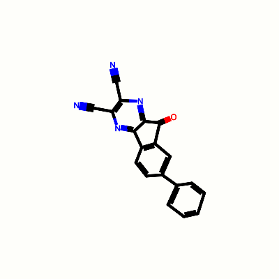 N#Cc1nc2c(nc1C#N)-c1ccc(-c3ccccc3)cc1C2=O